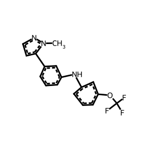 Cn1nccc1-c1cccc(Nc2cccc(OC(F)(F)F)c2)c1